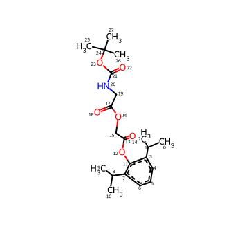 CC(C)c1cccc(C(C)C)c1OC(=O)COC(=O)CNC(=O)OC(C)(C)C